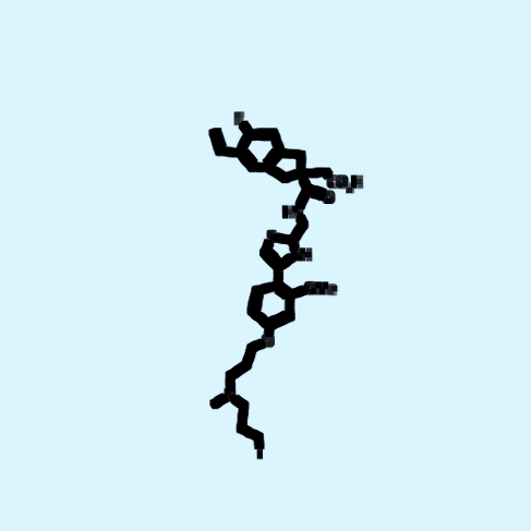 C=Cc1cc2c(cc1F)CC(CC(=O)O)(C(=O)NCC1NC(c3ccc(OCCCN(C)CCCI)cc3OC)=CS1)C2